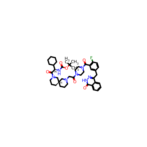 CC(C)(C)OC(=O)N[C@@H](C(=O)N1CCC[C@@]2(CCCN(CC(=O)N3CCN(C(=O)c4cc(Cc5n[nH]c(=O)c6ccccc56)ccc4F)CC3)C2)C1)C1CCCCC1